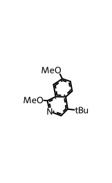 COc1ccc2c(C(C)(C)C)cnc(OC)c2c1